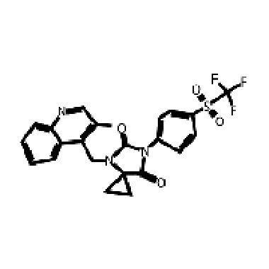 Cc1cnc2ccccc2c1CN1C(=O)N(c2ccc(S(=O)(=O)C(F)(F)F)cc2)C(=O)C12CC2